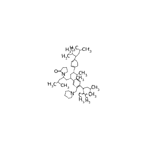 CC(C)CC(c1ccc(C(CC(CC(CC(C)C)N2CCCC2=O)c2ccc(C(CC(C)C)C(C)C)c(CN3CCCCC3)c2)C(C)C)cc1)C(C)C